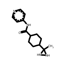 CC1(C2CCC(C(=O)Nc3ccncc3)CC2)NN1